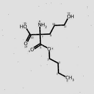 CCCCOC(=O)C(N)(CCCO)C(=O)O